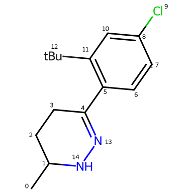 CC1CCC(c2c[c]c(Cl)cc2C(C)(C)C)=NN1